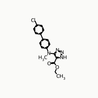 CCOC(=O)c1[nH]nnc1N(C)c1ccc(-c2ccc(Cl)cc2)cc1